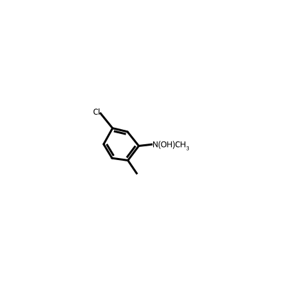 Cc1ccc(Cl)cc1N(C)O